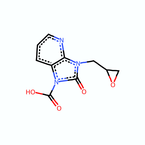 O=C(O)n1c(=O)n(CC2CO2)c2ncccc21